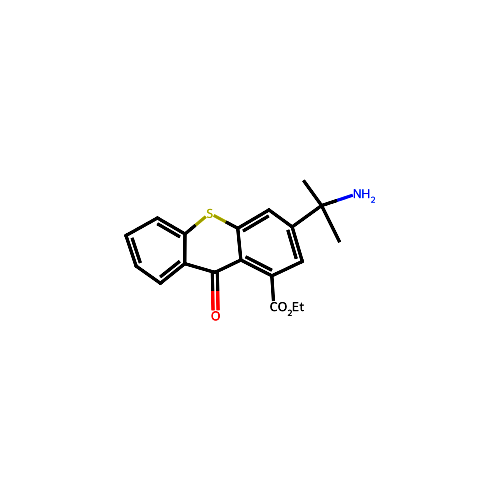 CCOC(=O)c1cc(C(C)(C)N)cc2sc3ccccc3c(=O)c12